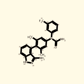 Cc1cc(N(C(N)=O)c2cccc(C(F)(F)F)c2)cc(C)c1-c1cccc2[nH]nc(N)c12